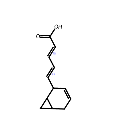 O=C(O)/C=C/C=C/C1C=CCC2CC12